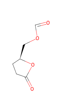 O=COC[C@@H]1CCC(=O)O1